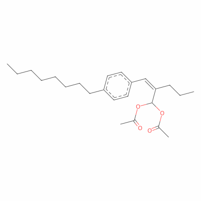 CCCCCCCCc1ccc(C=C(CCC)C(OC(C)=O)OC(C)=O)cc1